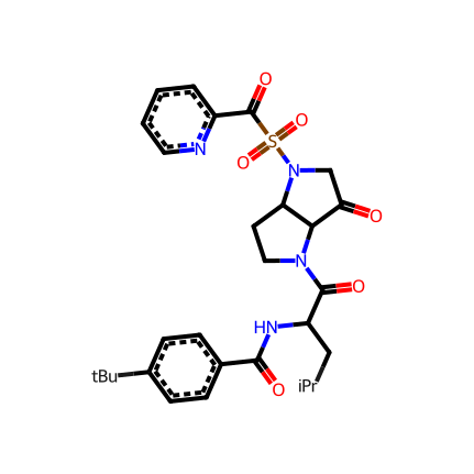 CC(C)CC(NC(=O)c1ccc(C(C)(C)C)cc1)C(=O)N1CCC2C1C(=O)CN2S(=O)(=O)C(=O)c1ccccn1